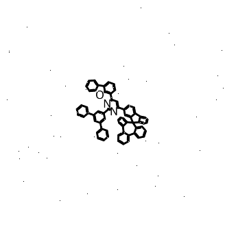 c1ccc(-c2cc(-c3ccccc3)cc(-c3nc(-c4ccc5c(c4)C4(c6ccccc6-c6ccccc6-c6ccccc64)c4ccccc4-5)cc(-c4cccc5c4oc4ccccc45)n3)c2)cc1